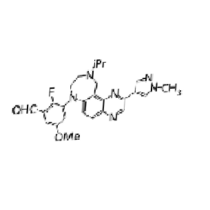 COc1cc(C=O)c(F)c(N2CCN(C(C)C)Cc3c2ccc2ncc(-c4cnn(C)c4)nc32)c1